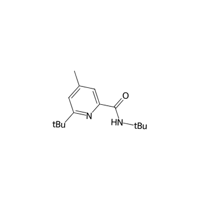 Cc1cc(C(=O)NC(C)(C)C)nc(C(C)(C)C)c1